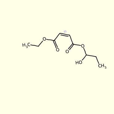 CCOC(=O)/C=C\C(=O)OC(O)CC